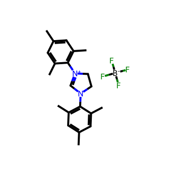 Cc1cc(C)c(N2C=[N+](c3c(C)cc(C)cc3C)CC2)c(C)c1.F[B-](F)(F)F